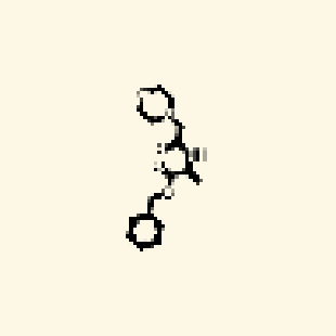 C=C(NC(=O)CN1CCOCC1)C(=O)OCc1ccccc1